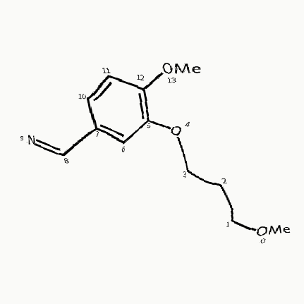 COCCCOc1cc(C=[N])ccc1OC